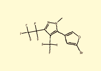 Cn1nc(C(F)(F)C(F)(F)F)c(C(F)(F)F)c1-c1coc(Br)c1